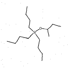 CCCC[Si](CCCC)(CCCC)OC(C)CC